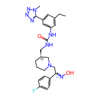 CCc1cc(NC(=O)NC[C@@H]2CCCN(C/C(=N\O)c3ccc(F)cc3)C2)cc(-c2nnnn2C)c1